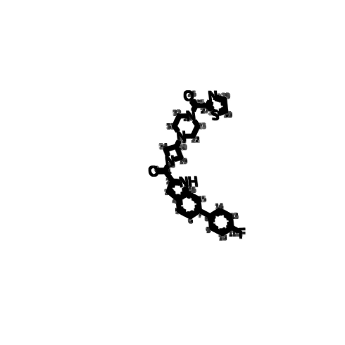 O=C(c1cc2ccc(-c3ccc(F)cc3)cc2[nH]1)N1CC(N2CCN(C(=O)c3nccs3)CC2)C1